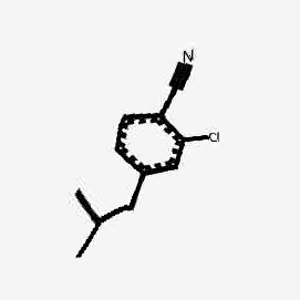 CC(C)Cc1ccc(C#N)c(Cl)c1